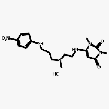 CN(CCCNc1ccc([N+](=O)[O-])cc1)CCNc1cc(=O)n(C)c(=O)n1C.Cl